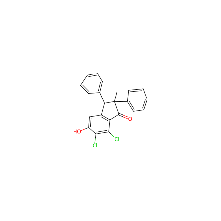 CC1(c2ccccc2)C(=O)c2c(cc(O)c(Cl)c2Cl)C1c1ccccc1